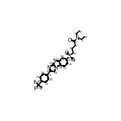 CCN(CC)C(=O)CCCS(=O)(=O)c1ccc2c(c1)sc1nc(-c3ccc(C(F)(F)F)cc3)cn12